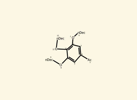 CCCCCCCCCCOc1cc(C(C)=O)cc(OCCCCCCCCCC)c1OCCCCCCCCCC